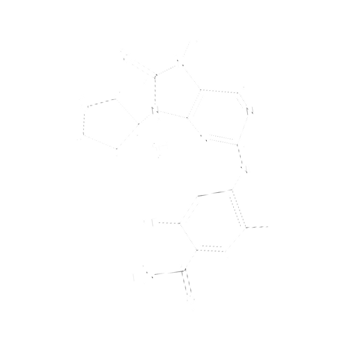 Cc1cc(C(N)=O)c(F)cc1Nc1ncc2c(n1)n([C@@]1([SiH3])CCOC1)c(=O)n2C